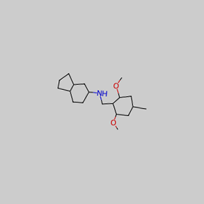 COC1CC(C)CC(OC)C1CNC1CCC2CCCC2C1